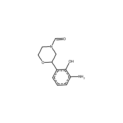 Nc1cccc(C2CN(C=O)CCO2)c1O